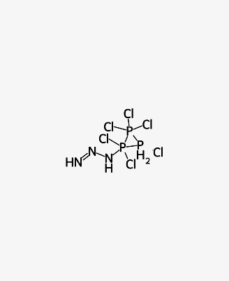 N=NNP1(Cl)(Cl)[PH2](Cl)P1(Cl)(Cl)Cl